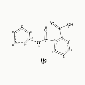 O=C(O)c1ccccc1C(=O)Oc1ccccc1.[Hg]